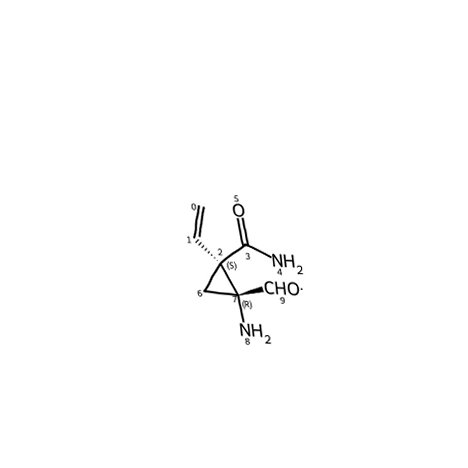 C=C[C@@]1(C(N)=O)C[C@]1(N)[C]=O